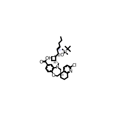 CCC/C=C/[C@H](O[Si](C)(C)C(C)(C)C)[C@@H]1CC[C@H]1CN1C[C@@]2(CCCc3nc(Cl)ccc32)COc2ccc(C(=O)O)cc21